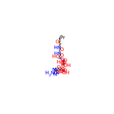 CC(C)C=CC(=O)SCCNC(=O)CCNC(=O)C(O)C(C)(C)COP(=O)(O)OP(=O)(O)OC[C@H]1O[C@@H](n2cnc3c(N)ncnc32)[C@H](O)[C@@H]1OP(=O)(O)O